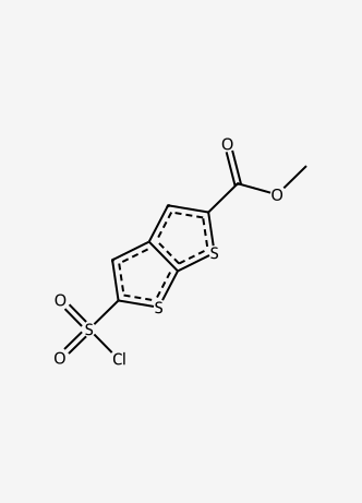 COC(=O)c1cc2cc(S(=O)(=O)Cl)sc2s1